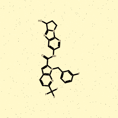 O=C(Nc1cnc2c(c1)nc1n2CCC1O)c1cc2ccc(C(F)(F)F)nc2n1Cc1cccc(F)c1